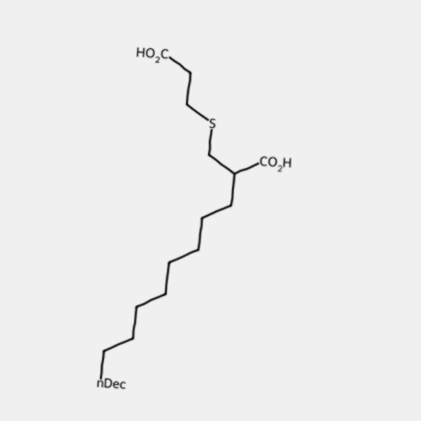 CCCCCCCCCCCCCCCCCCC(CSCCC(=O)O)C(=O)O